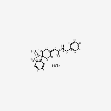 CN(C)C1(c2ccccc2)CCC(=CC(=O)NCc2ccccc2)CC1.Cl